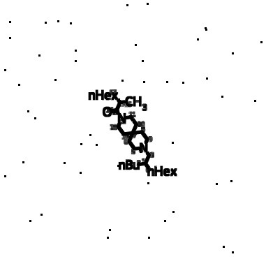 CCCCCCC(CCCC)CN1CCC2(CC1)CCN(C(=O)C(C)CCCCCC)CC2